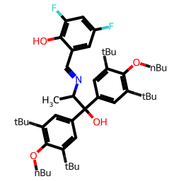 CCCCOc1c(C(C)(C)C)cc(C(O)(c2cc(C(C)(C)C)c(OCCCC)c(C(C)(C)C)c2)C(C)N=Cc2cc(F)cc(F)c2O)cc1C(C)(C)C